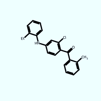 CCc1ccccc1Nc1ccc(C(=O)c2ccccc2C)c(Cl)c1